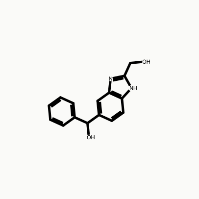 OCc1nc2cc(C(O)c3ccccc3)ccc2[nH]1